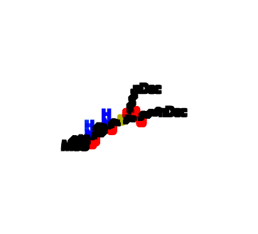 CCCCCCCCCCCCCCCC(=O)OCC(CSCCC(=O)Nc1ccc(C(=O)N[C@@H](Cc2ccccc2)C(=O)OC)cc1)OC(=O)CCCCCCCCCCCCCCC